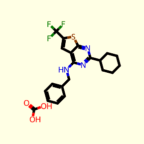 FC(F)(F)c1cc2c(NCc3ccccc3)nc(C3CCCCC3)nc2s1.O=C(O)O